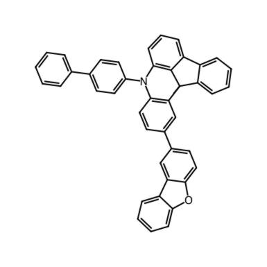 CC12c3ccccc3-c3cccc(c31)N(c1ccc(-c3ccccc3)cc1)c1ccc(-c3ccc4oc5ccccc5c4c3)cc12